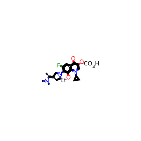 CCOc1c(N2CC[C@@H]([C@H](C)N(C)C)C2)c(F)cc2c(=O)c(OC(=O)O)cn(C3CC3)c12